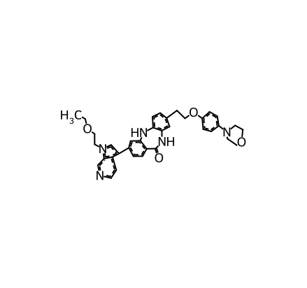 CCOCCn1cc(-c2ccc3c(c2)Nc2ccc(CCOc4ccc(N5CCOCC5)cc4)cc2NC3=O)c2ccncc21